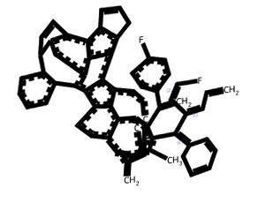 C=C/C=C(\C=C/F)C(=C1\C=CC=CC1)/c1c(C)ccc2c(=C)c3cccc4c5c(c6c7cc8c(c9c%10c(c5c79)CC=C%10)C=CC8c5ccccc5-6)c5ccc2c(c(cc3)c1C(=C)c1ccc(F)cc1)c54